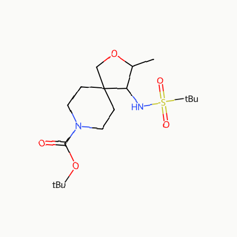 CC1OCC2(CCN(C(=O)OC(C)(C)C)CC2)C1NS(=O)(=O)C(C)(C)C